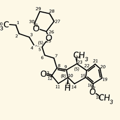 CCCCC[C@@H](CCC1=C2[C@@H](CC1=O)Cc1c(OC)cccc1[C@@H]2C)OC1CCCCO1